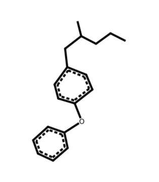 CCCC(C)Cc1ccc(Oc2ccccc2)cc1